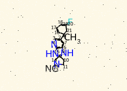 CC1(c2cnc3c(c2)NC2(CCN(C#N)C2)N3)C=CC=C(F)C1